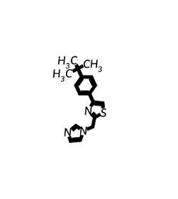 CC(C)(C)c1ccc(-c2csc(Cn3ccnc3)n2)cc1